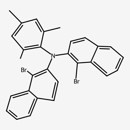 Cc1cc(C)c(N(c2ccc3ccccc3c2Br)c2ccc3ccccc3c2Br)c(C)c1